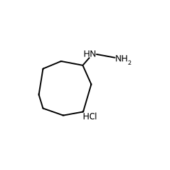 Cl.NNC1CCCCCCC1